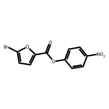 O=C(Oc1ccc([N+](=O)[O-])cc1)c1ccc(Br)o1